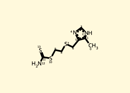 Cc1[nH]cnc1CSCCSC(N)=S